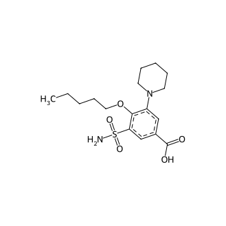 CCCCCOc1c(N2CCCCC2)cc(C(=O)O)cc1S(N)(=O)=O